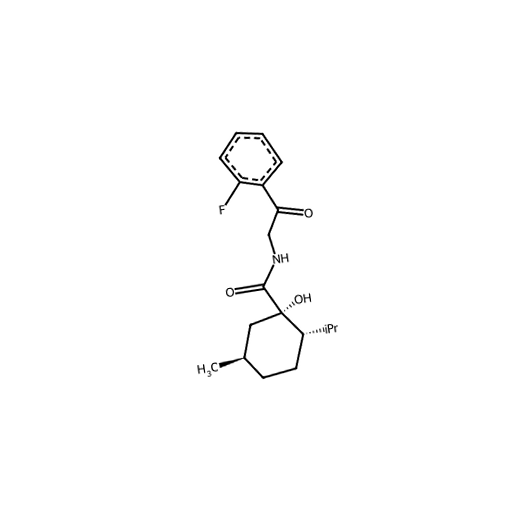 CC(C)[C@@H]1CC[C@@H](C)C[C@@]1(O)C(=O)NCC(=O)c1ccccc1F